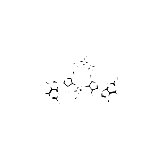 COP(=O)(O)OC1[C@@H](COP(=O)(O)OP(=O)(O)OP(=O)(O)OC[C@H]2O[C@@H](n3c[n+](C)c4c(O)nc(N)nc43)C(O)C2O)O[C@@H](n2c[n+](C)c3c(O)nc(N)nc32)[C@H]1O